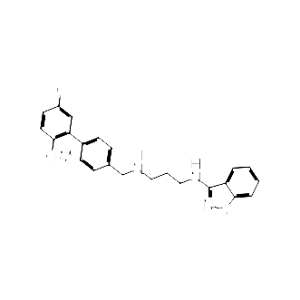 COc1ccc(Cl)cc1-c1ccc(CNCCCNc2nsc3ccccc23)cc1